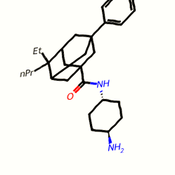 CCCC1(CC)C2CC3(C(=O)N[C@H]4CC[C@H](N)CC4)CC1CC(c1ccccc1)(C2)C3